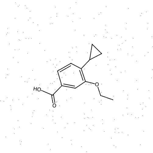 CCOc1cc(C(=O)O)ccc1C1CC1